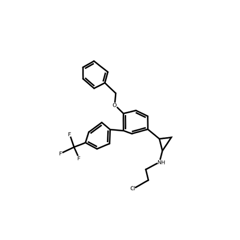 FC(F)(F)c1ccc(-c2cc(C3CC3NCCCl)ccc2OCc2ccccc2)cc1